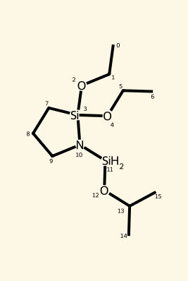 CCO[Si]1(OCC)CCCN1[SiH2]OC(C)C